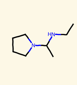 CCNC(C)N1CCCC1